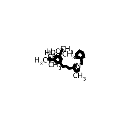 Cc1cn(Cc2ccccc2)cc1CCCc1cc(C(C)(C)C)c(O)c(C(C)(C)C)c1